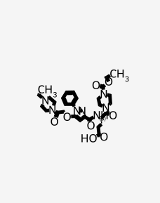 CCOC(=O)N1CCN(C(=O)[C@H](CCC(=O)O)NC(=O)c2cc(OCC(=O)N3CCN(CC)CC3)n(-c3ccccc3)n2)CC1